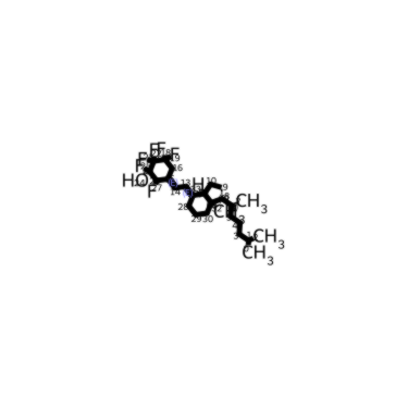 CC(C)CCC[C@@H](C)[C@H]1CC[C@H]2/C(=C/C=C3\CC(F)(F)C(F)(F)[C@@](O)(F)C3F)CCC[C@]12C